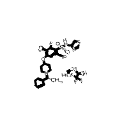 C[C@H](c1ccccc1)N1CCC(Oc2cc(F)c(S(=O)(=O)Nc3cscn3)c(F)c2Cl)CC1.O=C(O)C(F)(F)F.O=CO